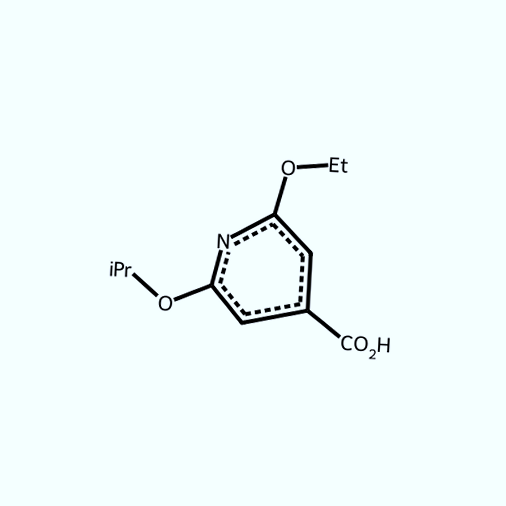 CCOc1cc(C(=O)O)cc(OC(C)C)n1